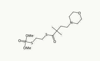 COP(=O)(OC)SCCSC(=O)C(C)(C)CCN1CCOCC1